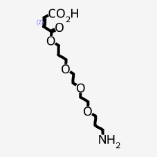 NCCCOCCOCCOCCCOC(=O)/C=C\C(=O)O